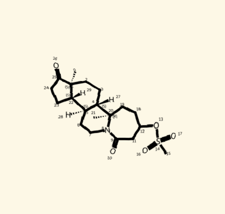 C[C@]12CC[C@H]3[C@@H](CCN4C(=O)CC(OS(C)(=O)=O)CC[C@]34C)[C@@H]1CCC2=O